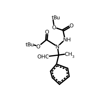 CC(C)(C)OC(=O)NN(C(=O)OC(C)(C)C)C(C)(C=O)c1ccccc1